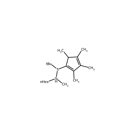 CCCCCC[SiH](C)[Ti]([C]1=C(C)C(C)=C(C)C1C)[C](C)(C)C